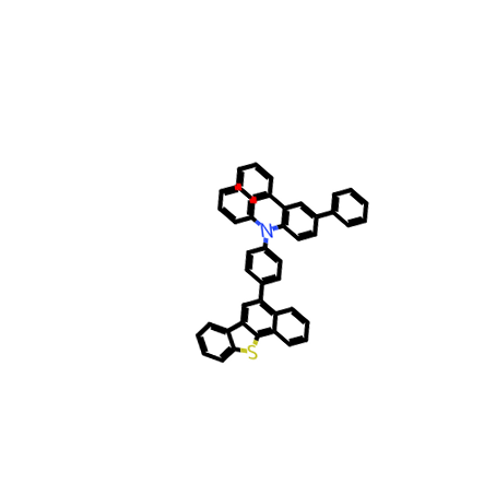 c1ccc(-c2ccc(N(c3ccccc3)c3ccc(-c4cc5c6ccccc6sc5c5ccccc45)cc3)c(-c3ccccc3)c2)cc1